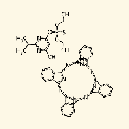 CCOP(=S)(OCC)Oc1cc(C)nc(C(C)C)n1.c1ccc2c(c1)-c1nc-2nc2[nH]c(nc3nc(nc4[nH]c(n1)c1ccccc41)-c1ccccc1-3)c1ccccc21